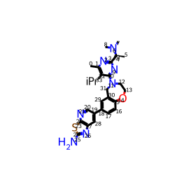 Cc1nc([C@H](C)N(C)C)nc(N2CCOc3ccc(-c4cnc5sc(N)nc5c4)cc3C2)c1C(C)C